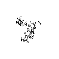 CCCc1cc2c(N3CCn4c(nnc4C(F)(F)F)C3)nc(NC3CNC3)nc2s1